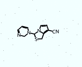 N#Cc1ccn2c1CSC2N1C=CC=NC1